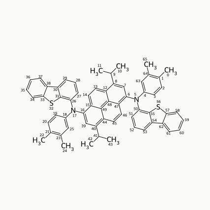 Cc1ccc(N(c2cc(C(C)C)c3ccc4c(N(c5ccc(C)c(C)c5)c5cccc6c5sc5ccccc56)cc(C(C)C)c5ccc2c3c54)c2cccc3c2sc2ccccc23)cc1C